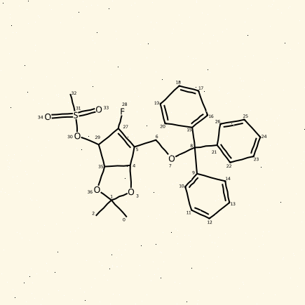 CC1(C)OC2C(COC(c3ccccc3)(c3ccccc3)c3ccccc3)=C(F)C(OS(C)(=O)=O)C2O1